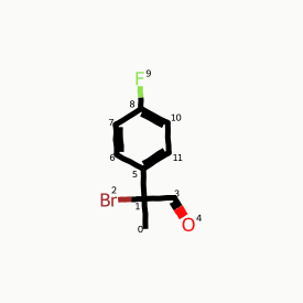 CC(Br)(C=O)c1ccc(F)cc1